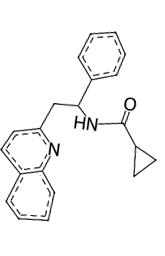 O=C(NC(Cc1ccc2ccccc2n1)c1ccccc1)C1CC1